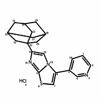 Cl.c1cncc(-c2csc3nc(C45CC6CC(CC(C6)C4)C5)cn23)c1